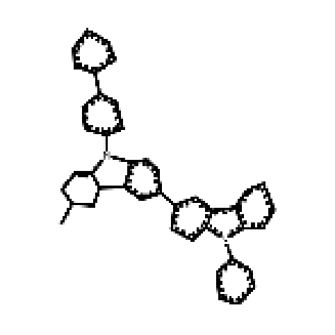 CC1CC=C2C(C1)c1cc(-c3ccc4c(c3)c3ccccc3n4-c3ccccc3)ccc1N2c1ccc(-c2ccccc2)cc1